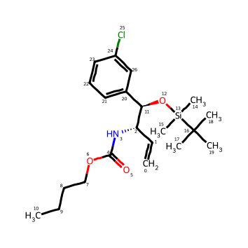 C=C[C@H](NC(=O)OCCCC)[C@H](O[Si](C)(C)C(C)(C)C)c1cccc(Cl)c1